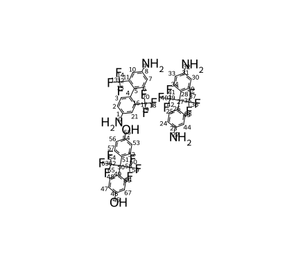 Nc1ccc(-c2ccc(N)cc2C(F)(F)F)c(C(F)(F)F)c1.Nc1ccc(C(c2ccc(N)cc2)(C(F)(F)F)C(F)(F)F)cc1.Oc1ccc(C(c2ccc(O)cc2)(C(F)(F)F)C(F)(F)F)cc1